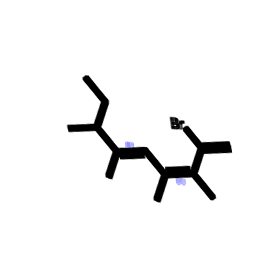 C=C(Br)/C(C)=C(C)\C=C(/C)C(C)CC